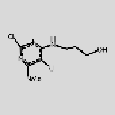 CNc1nc(Cl)nc(NCCCO)c1Cl